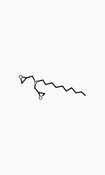 CCCCCCCCCCN(CC1CO1)CC1CO1